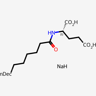 CCCCCCCCCCCCCCCC(=O)N[C@@H](CCC(=O)O)C(=O)O.[NaH]